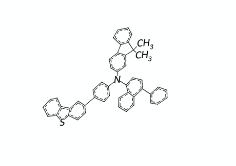 CC1(C)c2ccccc2-c2ccc(N(c3ccc(-c4ccc5sc6ccccc6c5c4)cc3)c3ccc(-c4ccccc4)c4ccccc34)cc21